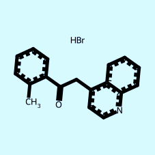 Br.Cc1ccccc1C(=O)Cc1ccnc2ccccc12